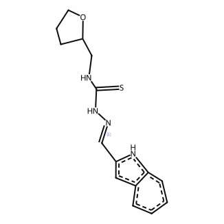 S=C(NCC1CCCO1)N/N=C/c1cc2ccccc2[nH]1